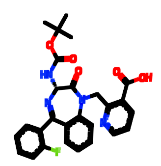 CC(C)(C)OC(=O)N[C@H]1N=C(c2ccccc2F)c2ccccc2N(Cc2ncccc2C(=O)O)C1=O